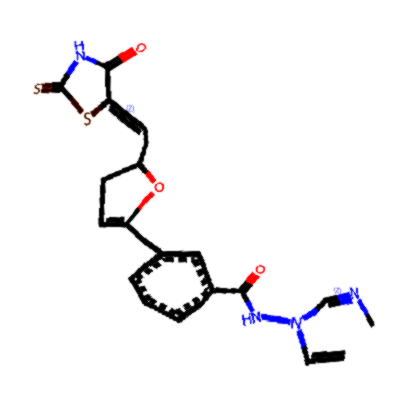 C=CN(/C=N\C)NC(=O)c1cccc(C2=CCC(/C=C3\SC(=S)NC3=O)O2)c1